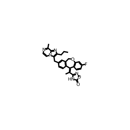 CCCc1nc2c(C)nccn2c1Cc1ccc2c(c1)COc1cc(F)ccc1C2=C(C)c1noc(=O)[nH]1